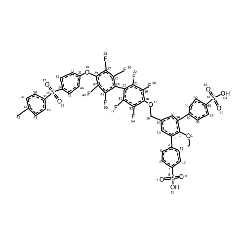 COc1c(-c2ccc(S(=O)(=O)O)cc2)cc(COc2c(F)c(F)c(-c3c(F)c(F)c(Oc4ccc(S(=O)(=O)c5ccc(C)cc5)cc4)c(F)c3F)c(F)c2F)cc1-c1ccc(S(=O)(=O)O)cc1